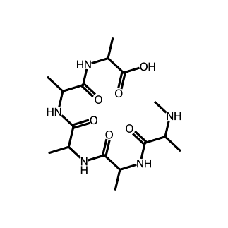 CNC(C)C(=O)NC(C)C(=O)NC(C)C(=O)NC(C)C(=O)NC(C)C(=O)O